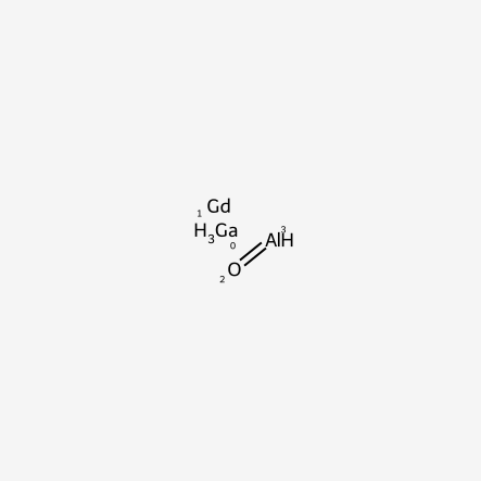 [GaH3].[Gd].[O]=[AlH]